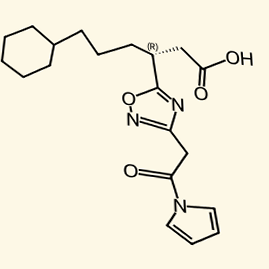 O=C(O)C[C@@H](CCCC1CCCCC1)c1nc(CC(=O)n2cccc2)no1